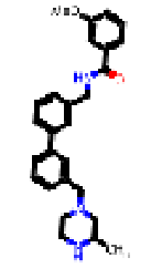 COc1cccc(C(=O)NCc2cccc(-c3cccc(CN4CCNC(C)C4)c3)c2)c1